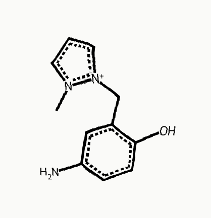 Cn1ccc[n+]1Cc1cc(N)ccc1O